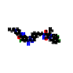 Cc1c(C(=O)NCC=Cc2ccc3nc(Nc4ccc(C(=O)NC5CCN(C)CC5)c(F)c4)ncc3c2)c(=O)n(Cc2ccc(F)c(F)c2)n1C